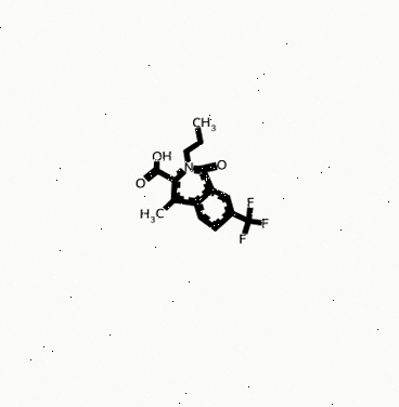 CCCn1c(C(=O)O)c(C)c2ccc(C(F)(F)F)cc2c1=O